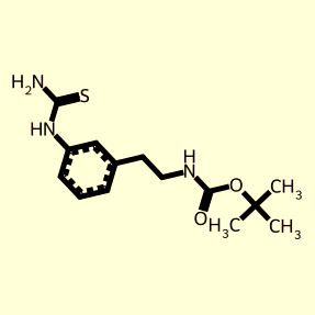 CC(C)(C)OC(=O)NCCc1cccc(NC(N)=S)c1